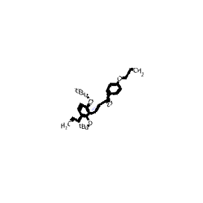 C=CCOc1ccc(C(=O)/C=C/c2c(OC(C)(C)C)ccc(CC=C)c2OC(C)(C)C)cc1